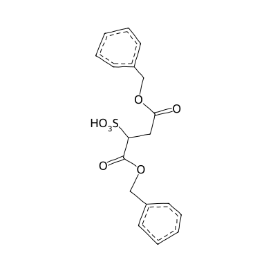 O=C(CC(C(=O)OCc1ccccc1)S(=O)(=O)O)OCc1ccccc1